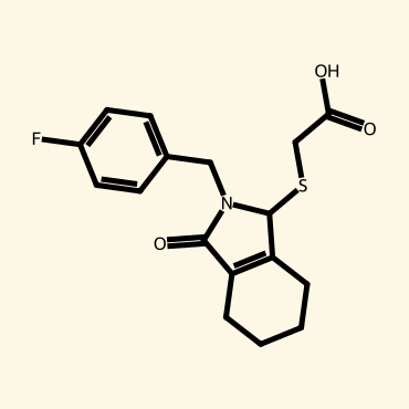 O=C(O)CSC1C2=C(CCCC2)C(=O)N1Cc1ccc(F)cc1